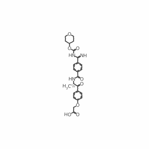 C[C@H](NC(=O)c1ccc(C(=N)NC(=O)OC2CCOCC2)cc1)C(=O)c1ccc(OCC(=O)O)cc1